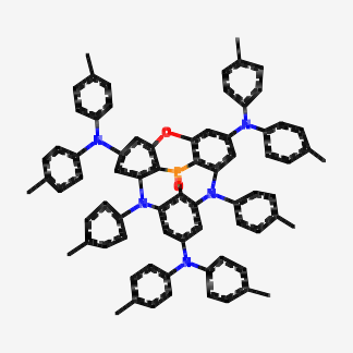 Cc1ccc(N(c2ccc(C)cc2)c2cc3c4c(c2)N(c2ccc(C)cc2)c2cc(N(c5ccc(C)cc5)c5ccc(C)cc5)cc5c2P4(=O)c2c(cc(N(c4ccc(C)cc4)c4ccc(C)cc4)cc2N5c2ccc(C)cc2)O3)cc1